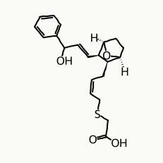 O=C(O)CSC/C=C\C[C@H]1[C@@H](/C=C/C(O)c2ccccc2)[C@H]2CC[C@@H]1O2